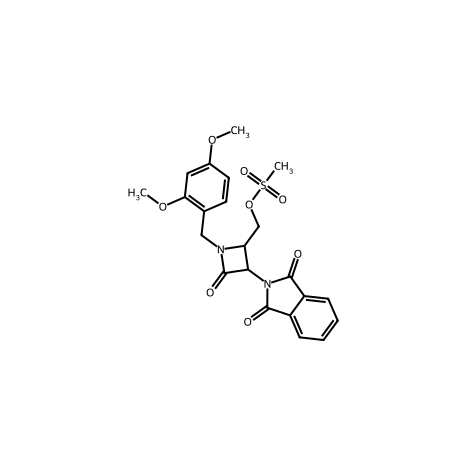 COc1ccc(CN2C(=O)C(N3C(=O)c4ccccc4C3=O)C2COS(C)(=O)=O)c(OC)c1